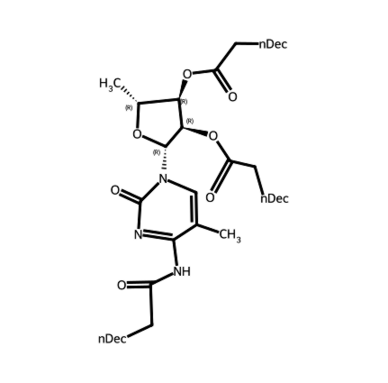 CCCCCCCCCCCC(=O)Nc1nc(=O)n([C@@H]2O[C@H](C)[C@@H](OC(=O)CCCCCCCCCCC)[C@H]2OC(=O)CCCCCCCCCCC)cc1C